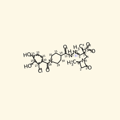 C[C@@H]1CC(=O)N1C[C@](C)(/C=N/NC(=O)C1CCN(C(=O)c2ccc(O)c(O)c2Cl)CC1)[SH](=O)=O